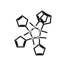 C[Si]1(C2=CC=CC2)[Si](C)(C2=CC=CC2)[Si](C)(C2=CC=CC2)[Si](C)(C2=CC=CC2)[Si]1(C)C1=CC=CC1